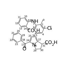 Cc1c(Cl)cccc1Nc1ccccc1C(=O)O.O=C(c1ccccc1)c1ccc2n1CCC2C(=O)O